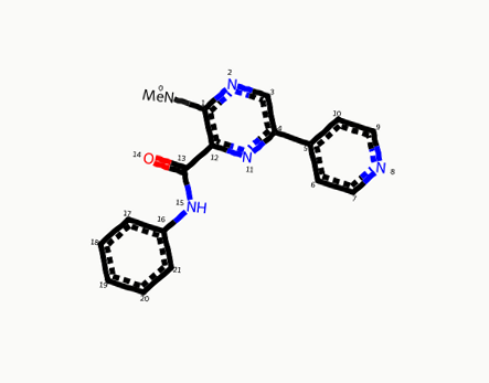 CNc1ncc(-c2ccncc2)nc1C(=O)Nc1ccccc1